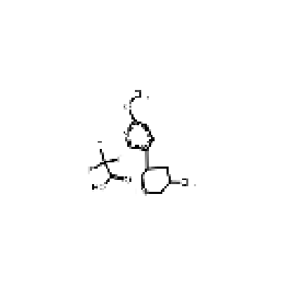 COc1ccc(C2CNCC(C)C2)cn1.O=C(O)C(F)(F)F